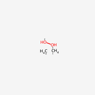 C.C.OO